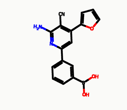 N#Cc1c(-c2ccco2)cc(-c2cccc(B(O)O)c2)nc1N